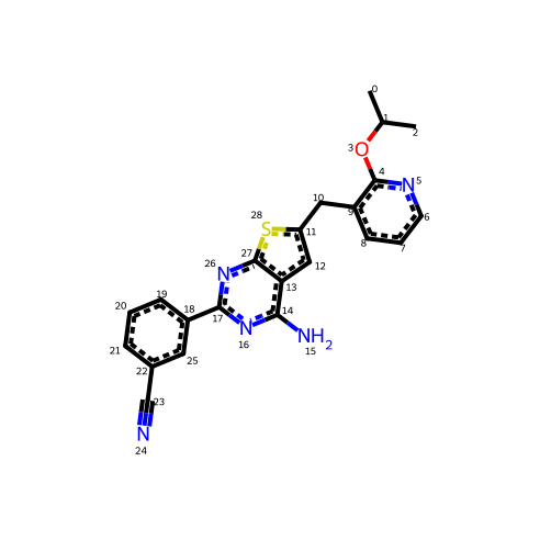 CC(C)Oc1ncccc1Cc1cc2c(N)nc(-c3cccc(C#N)c3)nc2s1